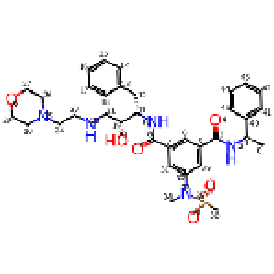 C[C@@H](NC(=O)c1cc(C(=O)N[C@@H](Cc2ccccc2)[C@H](O)CNCCN2CCOCC2)cc(N(C)S(C)(=O)=O)c1)c1ccccc1